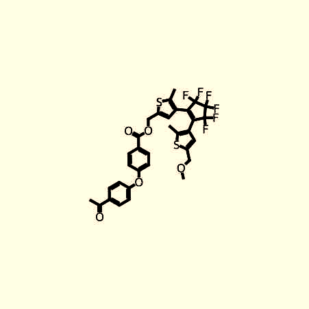 COCc1cc(C2=C(c3cc(COC(=O)c4ccc(Oc5ccc(C(C)=O)cc5)cc4)sc3C)C(F)(F)C(F)(F)C2(F)F)c(C)s1